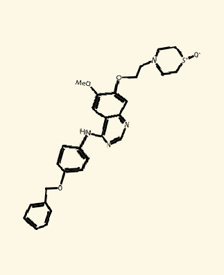 COc1cc2c(Nc3ccc(OCc4ccccc4)cc3)ncnc2cc1OCCN1CC[S+]([O-])CC1